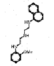 COc1ccccc1NCCNCCNc1cccc2ccccc12